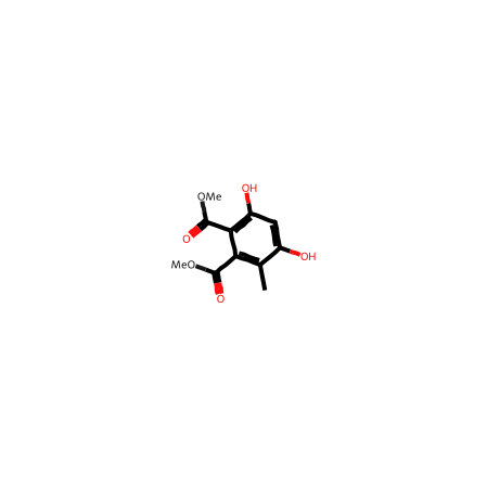 COC(=O)c1c(O)cc(O)c(C)c1C(=O)OC